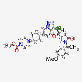 COc1ccc([C@@H](C)N2CC([C@@H](C)Oc3cc(-c4ccc(N5CCN(C(=O)OC(C)(C)C)CC5)cc4)cn4ncc(Cl)c34)CC2=O)cc1